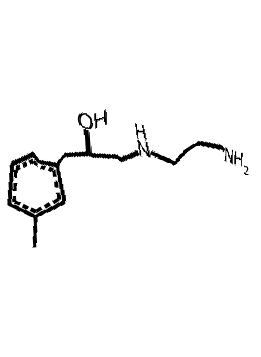 Cc1cccc(C(O)CNCCN)c1